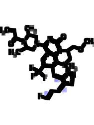 C=CC(=O)N1C(C)CN(c2nc(=O)n3c4c(c(/C=c5/c(=C\C=C\F)cnn5C)c(C(F)(F)F)cc24)SCC3COC)CC1C